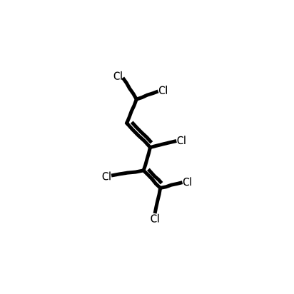 ClC(=CC(Cl)Cl)C(Cl)=C(Cl)Cl